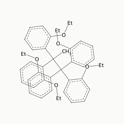 CCOc1ccccc1C(C)(c1ccccc1OCC)C(c1ccccc1OCC)(c1ccccc1OCC)c1ccccc1OCC